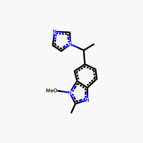 COn1c(C)nc2ccc(C(C)n3ccnc3)cc21